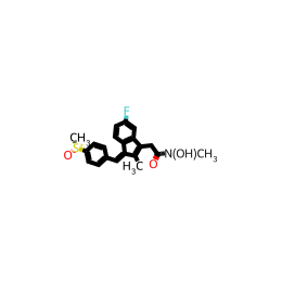 CC1=C(CC(=O)N(C)O)c2cc(F)ccc2C1=Cc1ccc([S+](C)[O-])cc1